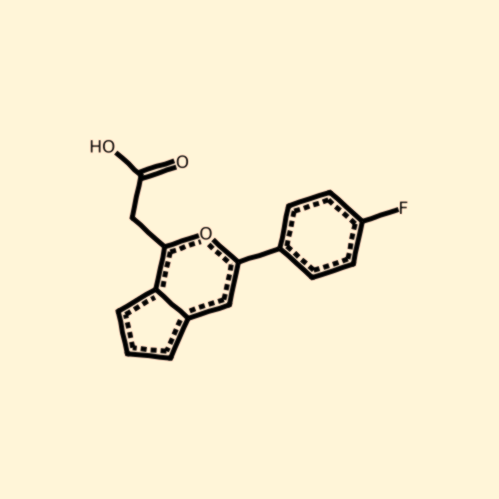 O=C(O)Cc1oc(-c2ccc(F)cc2)cc2cccc1-2